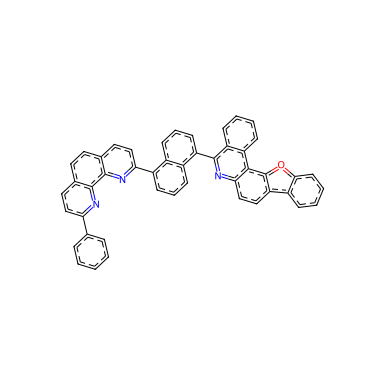 c1ccc(-c2ccc3ccc4ccc(-c5cccc6c(-c7nc8ccc9c%10ccccc%10oc9c8c8ccccc78)cccc56)nc4c3n2)cc1